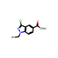 COC(=O)c1ccc2c(c1)c(Cl)nn2CC(C)C